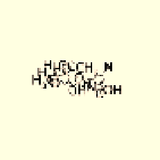 COc1cc([C@@H](O)[C@H](Cn2cc3cc(C#N)cc(C(=O)O)c3n2)OCC(C)C)cc(OC)c1C